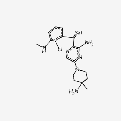 CNc1cccc(C(=N)c2ncc(N3CCC(C)(N)CC3)nc2N)c1Cl